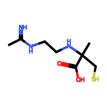 CC(=N)NCCNC(C)(CS)C(=O)O